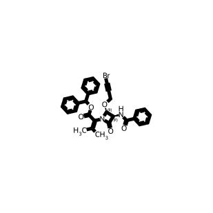 CC(C)=C(C(=O)OC(c1ccccc1)c1ccccc1)N1C(=O)[C@H](NC(=O)c2ccccc2)[C@H]1OCC#CBr